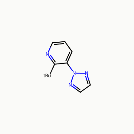 CC(C)(C)c1ncccc1-n1nccn1